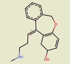 CNCC/C=C1\C2=C(C=CC(O)C2)OCc2ccccc21